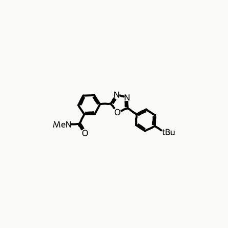 CNC(=O)c1cccc(-c2nnc(-c3ccc(C(C)(C)C)cc3)o2)c1